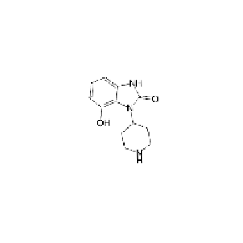 O=c1[nH]c2cccc(O)c2n1C1CCNCC1